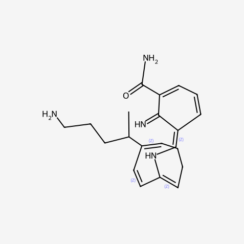 CC(CCCN)C1=C/CC/C=C(N/C=C2/C=CC=C(C(N)=O)C2=N)/C=C\1